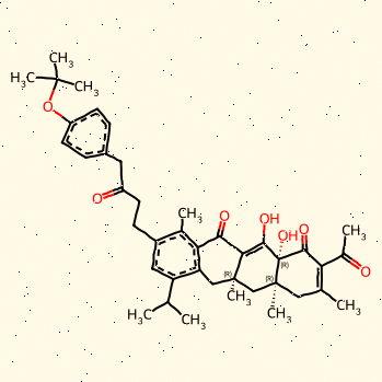 CC(=O)C1=C(C)C[C@@]2(C)C[C@@]3(C)Cc4c(C(C)C)cc(CCC(=O)Cc5ccc(OC(C)(C)C)cc5)c(C)c4C(=O)C3=C(O)[C@@]2(O)C1=O